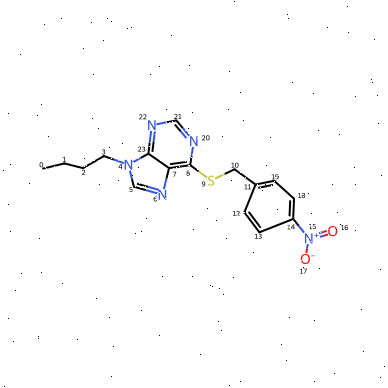 CCCCn1cnc2c(SCc3ccc([N+](=O)[O-])cc3)ncnc21